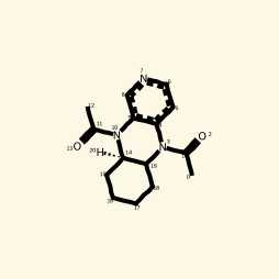 CC(=O)N1c2ccncc2N(C(C)=O)[C@@H]2CCCCC21